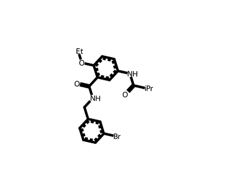 CCOc1ccc(NC(=O)C(C)C)cc1C(=O)NCc1cccc(Br)c1